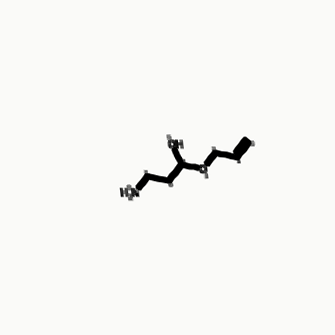 C=CCOC(O)CCN